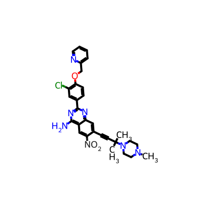 CN1CCN(C(C)(C)C#Cc2cc3nc(-c4ccc(OCc5ccccn5)c(Cl)c4)nc(N)c3cc2[N+](=O)[O-])CC1